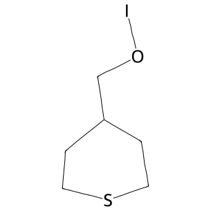 IOCC1CCSCC1